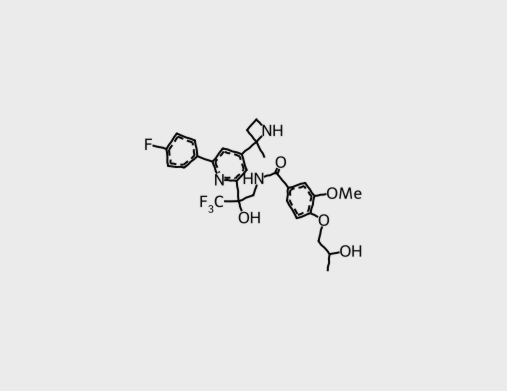 COc1cc(C(=O)NCC(O)(c2cc(C3(C)CCN3)cc(-c3ccc(F)cc3)n2)C(F)(F)F)ccc1OCC(C)O